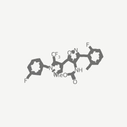 COC(=O)Nc1c(-c2c(C)cccc2F)noc1-c1cnn(-c2cccc(F)c2)c1C(F)(F)F